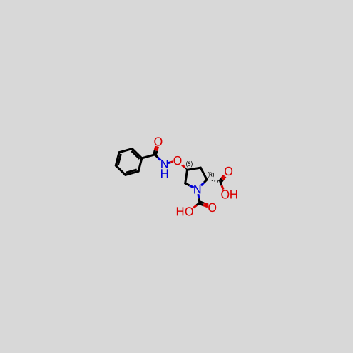 O=C(NO[C@H]1C[C@H](C(=O)O)N(C(=O)O)C1)c1ccccc1